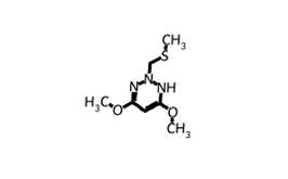 COC1=CC(OC)=NN(CSC)N1